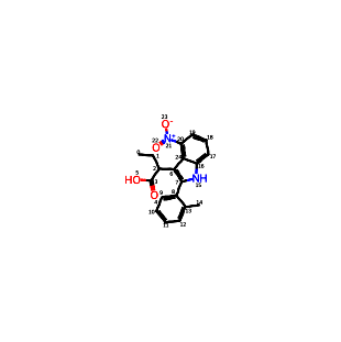 CCC(C(=O)O)c1c(-c2ccccc2C)[nH]c2cccc([N+](=O)[O-])c12